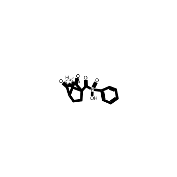 CC1(C)C2CCC1(C(=O)P(=O)(O)c1ccccc1)C(=O)C2=O